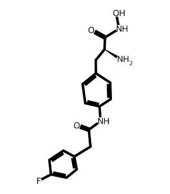 N[C@@H](Cc1ccc(NC(=O)Cc2ccc(F)cc2)cc1)C(=O)NO